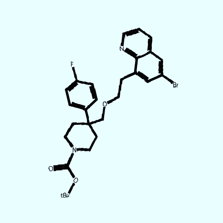 CC(C)(C)OC(=O)N1CCC(COCCc2cc(Br)cc3cccnc23)(c2ccc(F)cc2)CC1